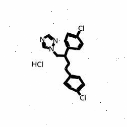 Cl.Clc1ccc(CCC(Cn2cncn2)c2ccc(Cl)cc2)cc1